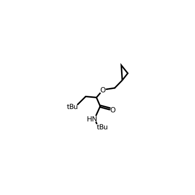 CC(C)(C)CC(OCC1CC1)C(=O)NC(C)(C)C